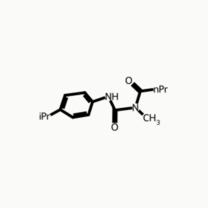 CCCC(=O)N(C)C(=O)Nc1ccc(C(C)C)cc1